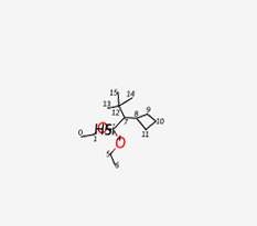 CCO[SiH](OCC)C(C1CCC1)C(C)(C)C